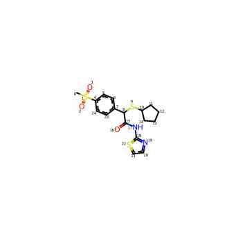 CS(=O)(=O)c1ccc(C(SC2CCCC2)C(=O)Nc2nccs2)cc1